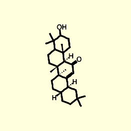 CC1(C)CC[C@@H]2CC[C@]3(C)C(=CC(=O)[C@@H]4[C@@]5(C)CCC(O)C(C)(C)C5CC[C@]43C)[C@H]2C1